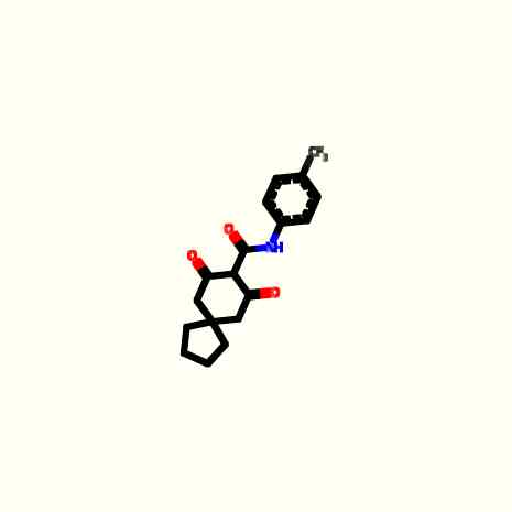 O=C1CC2(CCCC2)CC(=O)C1C(=O)Nc1ccc(C(F)(F)F)cc1